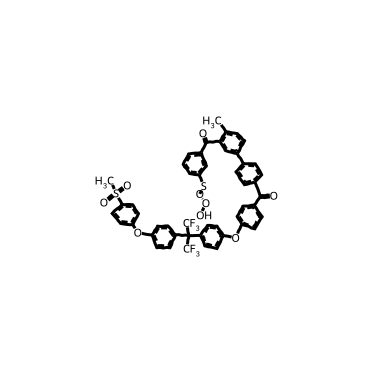 Cc1ccc(-c2ccc(C(=O)c3ccc(Oc4ccc(C(c5ccc(Oc6ccc(S(C)(=O)=O)cc6)cc5)(C(F)(F)F)C(F)(F)F)cc4)cc3)cc2)cc1C(=O)c1cccc(SOOO)c1